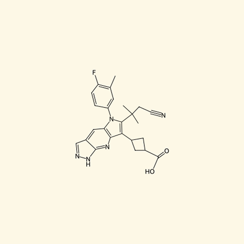 Cc1cc(-n2c(C(C)(C)CC#N)c(C3CC(C(=O)O)C3)c3nc4[nH]ncc4cc32)ccc1F